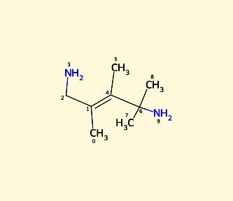 CC(CN)=C(C)C(C)(C)N